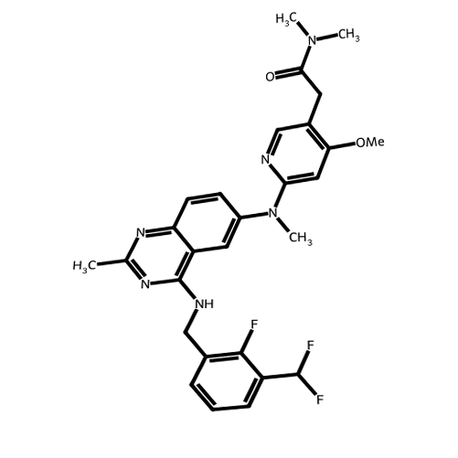 COc1cc(N(C)c2ccc3nc(C)nc(NCc4cccc(C(F)F)c4F)c3c2)ncc1CC(=O)N(C)C